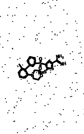 CSc1sc(C(=N)N)cc1S(=O)(=O)c1cccc(-c2c(C)cccc2N2CCOCC2)c1